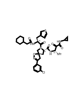 CCC[C@H](NC(=O)[C@@H]1C[C@]2(CC(c3cccc(Cl)c3)=NO2)CN1C(=O)[C@H](Cc1ccsc1)NC(=O)CC1CCCCC1)C(=O)C(=O)NC1CC1